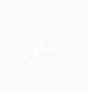 CCN(S)C1CCCCC1